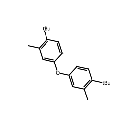 Cc1cc(Oc2[c]cc(C(C)(C)C)c(C)c2)[c]cc1C(C)(C)C